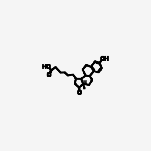 C[C@]12CCC3c4ccc(O)cc4CCC3C1C(CCCCCC(=O)O)CC2=O